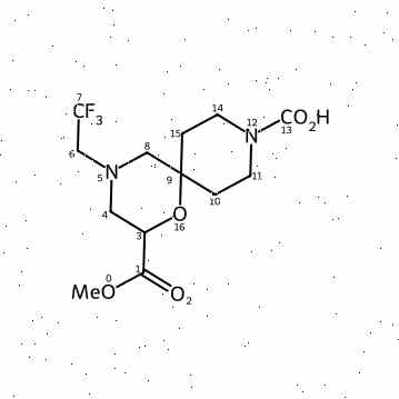 COC(=O)C1CN(CC(F)(F)F)CC2(CCN(C(=O)O)CC2)O1